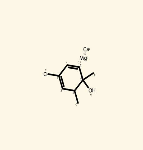 CC1C=C(Cl)C=CC1(C)O.[Ca].[Mg]